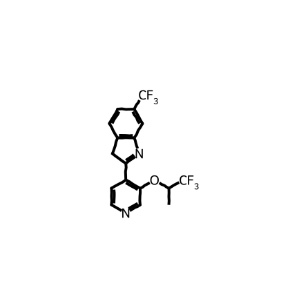 CC(Oc1cnccc1C1=Nc2cc(C(F)(F)F)ccc2C1)C(F)(F)F